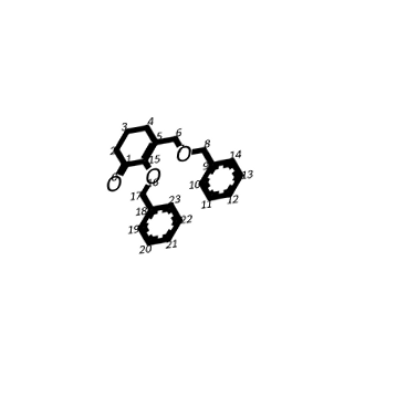 O=C1CCCC(COCc2ccccc2)=C1OCc1ccccc1